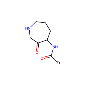 CCC(=O)NC1CCCNCC1=O